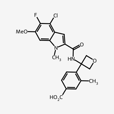 COc1cc2c(cc(C(=O)NC3(c4ccc(C(=O)O)cc4C)COC3)n2C)c(Cl)c1F